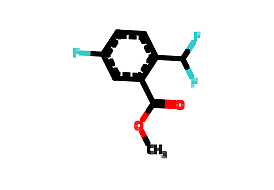 COC(=O)c1cc(F)ccc1C(F)F